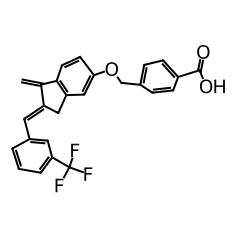 C=C1/C(=C/c2cccc(C(F)(F)F)c2)Cc2cc(OCc3ccc(C(=O)O)cc3)ccc21